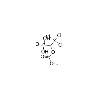 COC(=O)OC(C(Cl)(Cl)Cl)P(=O)(O)O